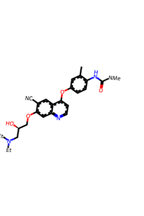 CCN(CC)C[C@@H](O)COc1cc2nccc(Oc3ccc(NC(=O)NC)c(C)c3)c2cc1C#N